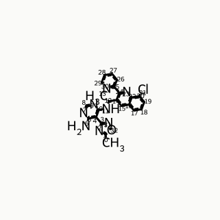 Cc1nc(-c2c(N)ncnc2NC(C)c2cc3cccc(Cl)c3nc2-c2ccccn2)no1